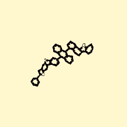 c1ccc(-c2cc3cc4sc5cc(-c6c7ccccc7c(-c7cccc8c7ccc7c9ccccc9oc87)c7ccccc67)ccc5c4cc3o2)cc1